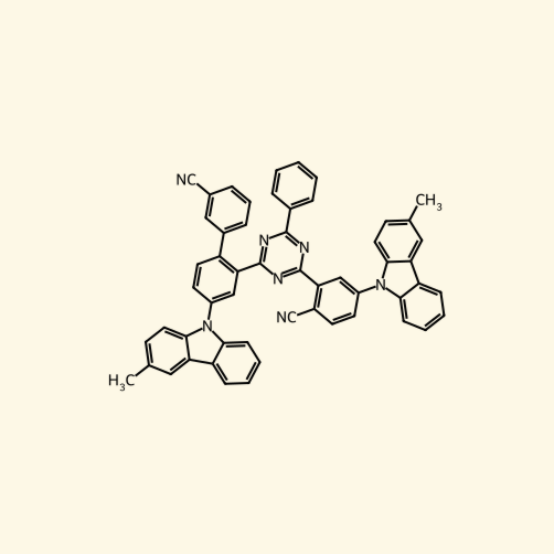 Cc1ccc2c(c1)c1ccccc1n2-c1ccc(C#N)c(-c2nc(-c3ccccc3)nc(-c3cc(-n4c5ccccc5c5cc(C)ccc54)ccc3-c3cccc(C#N)c3)n2)c1